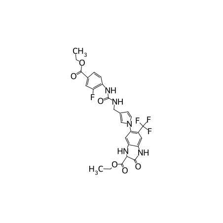 CCOC(=O)c1ccc(NC(=O)NCc2ccn(-c3cc4c(cc3C(F)(F)F)NC(=O)C(C(=O)OCC)N4)c2)c(F)c1